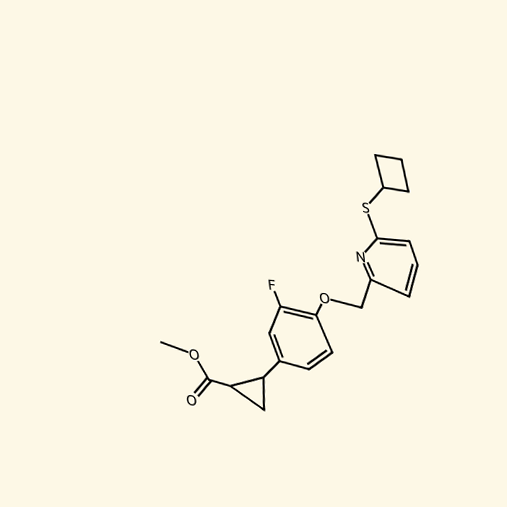 COC(=O)C1CC1c1ccc(OCc2cccc(SC3CCC3)n2)c(F)c1